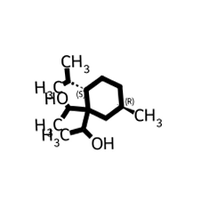 CC(C)[C@@H]1CC[C@@H](C)CC1(C(C)O)C(C)O